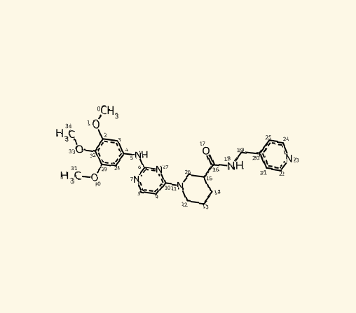 COc1cc(Nc2nccc(N3CCCC(C(=O)NCc4ccncc4)C3)n2)cc(OC)c1OC